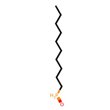 CCCCCCCCCC[PH2]=O